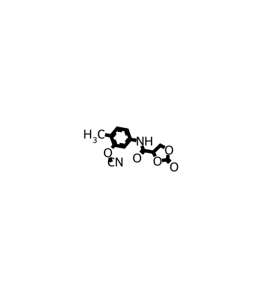 Cc1ccc(NC(=O)C2COC(=O)O2)cc1OC#N